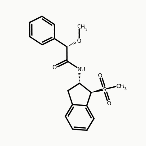 CO[C@H](C(=O)N[C@H]1Cc2ccccc2[C@@H]1S(C)(=O)=O)c1ccccc1